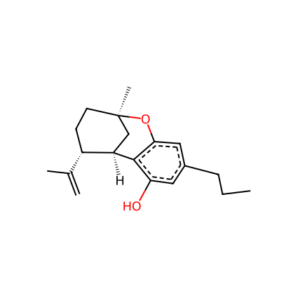 C=C(C)[C@@H]1CC[C@]2(C)C[C@H]1c1c(O)cc(CCC)cc1O2